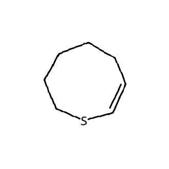 C1=CSCCCCC1